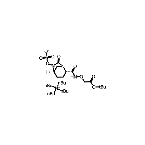 CC(C)(C)OC(=O)CONC(=O)[C@@H]1CC[C@@H]2CN1C(=O)N2OS(=O)(=O)[O-].CCCC[N+](CCCC)(CCCC)CCCC